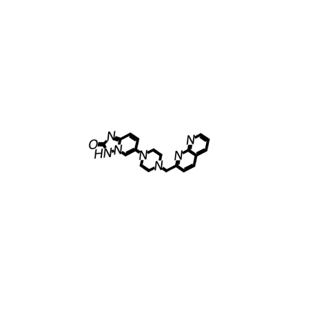 O=c1nc2ccc(N3CCN(Cc4ccc5cccnc5n4)CC3)cn2[nH]1